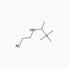 CC(NCCC#N)[Si](C)(C)C